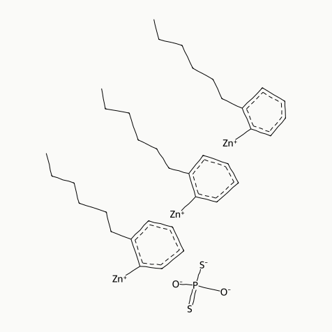 CCCCCCc1cccc[c]1[Zn+].CCCCCCc1cccc[c]1[Zn+].CCCCCCc1cccc[c]1[Zn+].[O-]P([O-])(=S)[S-]